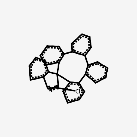 Clc1cccc2c1C1(c3ccccc3-c3ccccc3-c3ccccc3-c3ccccc31)c1ccccc1-2